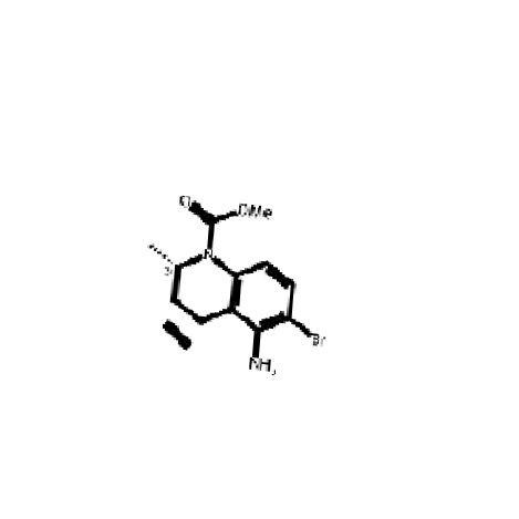 C=C.COC(=O)N1c2ccc(Br)c(N)c2CC[C@@H]1C